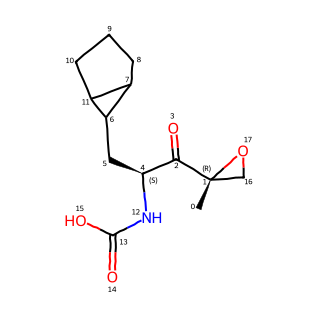 C[C@]1(C(=O)[C@H](CC2C3CCCC32)NC(=O)O)CO1